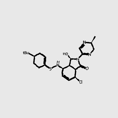 C[C@H]1CN=C(N2C(=O)C3C([C@H]2O)[C@H](NSC2=CCC(C(C)(C)C)CC2)C=C[C@@H]3Cl)C=N1